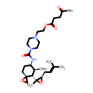 CO[C@H]1[C@H](C2(C)O[C@@H]2CC=C(C)C)[C@]2(CC[C@H]1NC(=O)N1CCN(CCOC(=O)CCC(=O)C(C)(C)C)CC1)CO2